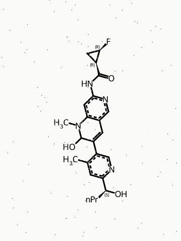 CCC[C@H](O)c1cc(C)c(C2=Cc3cnc(NC(=O)[C@H]4C[C@H]4F)cc3N(C)C2O)cn1